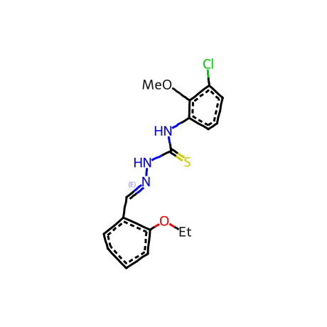 CCOc1ccccc1/C=N/NC(=S)Nc1cccc(Cl)c1OC